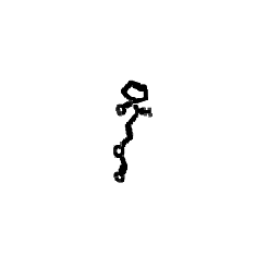 O=COCCNP1(=O)CC=CC1